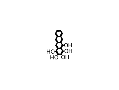 Oc1c(O)c(O)c2c(O)c3cc4ccccc4cc3cc2c1O